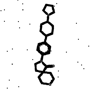 O=C1N(c2ccc(C3CCC(N4CCCC4)CC3)cc2)CCC12CCOCC2